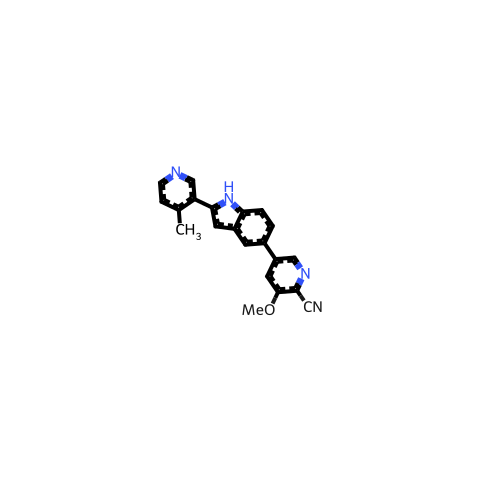 COc1cc(-c2ccc3[nH]c(-c4cnccc4C)cc3c2)cnc1C#N